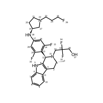 C[C@@H]1Cc2c([nH]c3ccccc23)[C@@H](c2c(F)cc(N[C@H]3CCN(CCCF)C3)cc2F)N1CC(F)(F)CO